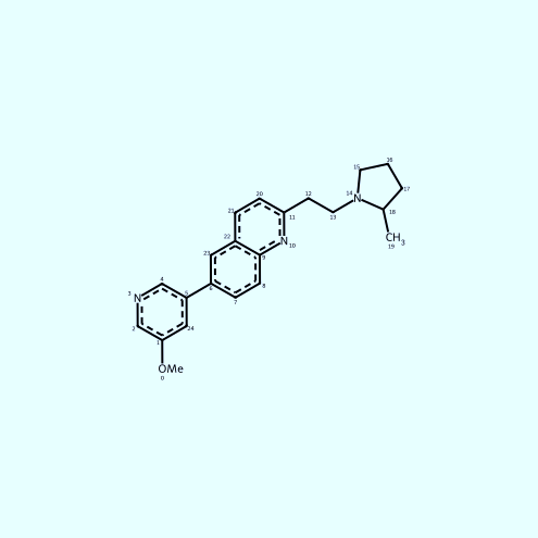 COc1cncc(-c2ccc3nc(CCN4CCCC4C)ccc3c2)c1